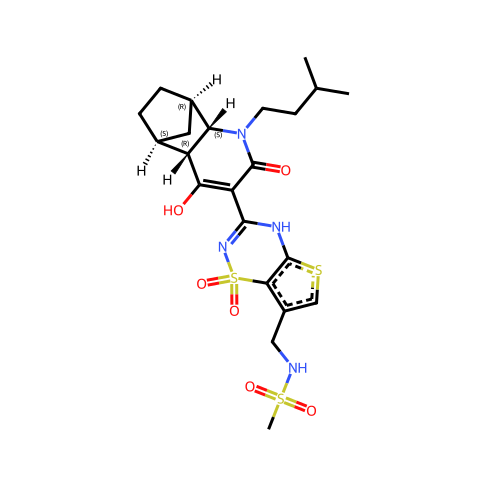 CC(C)CCN1C(=O)C(C2=NS(=O)(=O)c3c(CNS(C)(=O)=O)csc3N2)=C(O)[C@@H]2[C@H]3CC[C@H](C3)[C@@H]21